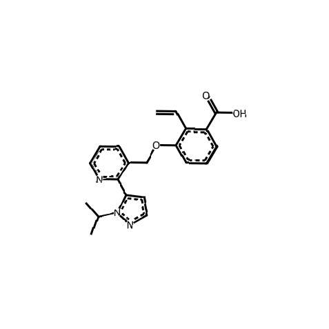 C=Cc1c(OCc2cccnc2-c2ccnn2C(C)C)cccc1C(=O)O